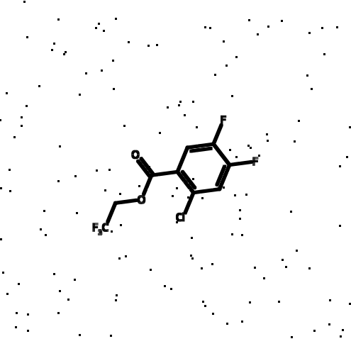 O=C(OCC(F)(F)F)c1cc(F)c(F)cc1Cl